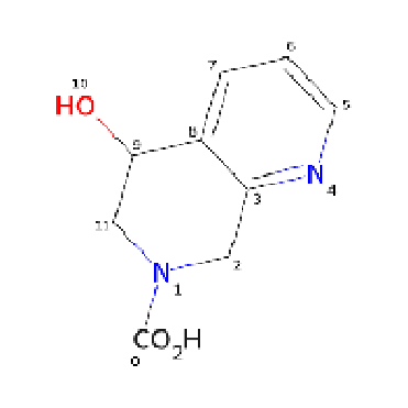 O=C(O)N1Cc2ncccc2C(O)C1